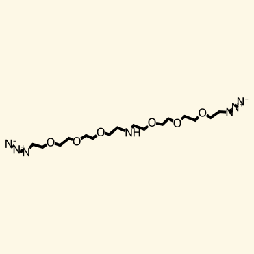 [N-]=[N+]=NCCOCCOCCOCCNCCOCCOCCOCCN=[N+]=[N-]